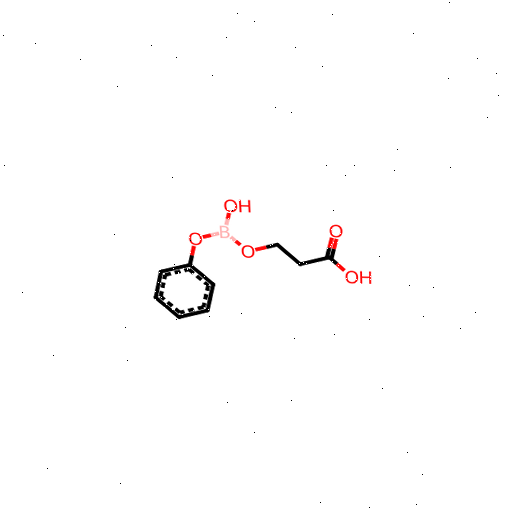 O=C(O)CCOB(O)Oc1ccccc1